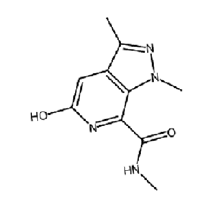 CNC(=O)c1nc(O)cc2c(C)nn(C)c12